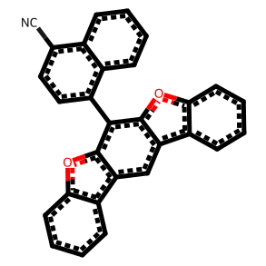 N#Cc1ccc(-c2c3oc4ccccc4c3cc3c2oc2ccccc23)c2ccccc12